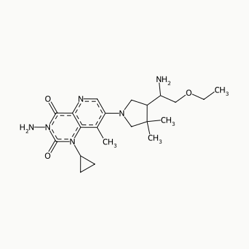 CCOCC(N)C1CN(c2cnc3c(=O)n(N)c(=O)n(C4CC4)c3c2C)CC1(C)C